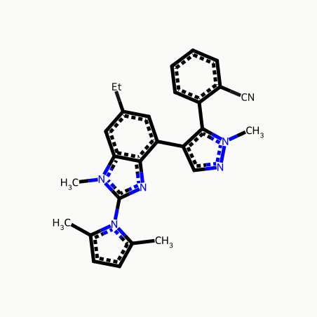 CCc1cc(-c2cnn(C)c2-c2ccccc2C#N)c2nc(-n3c(C)ccc3C)n(C)c2c1